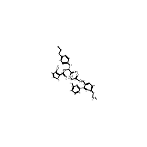 CCOc1ccc(C[C@@H](NC(=O)c2sccc2Cl)C(=O)N[C@@H](Cc2ccccc2)C(=O)NCc2ccc(CN)cc2)cc1